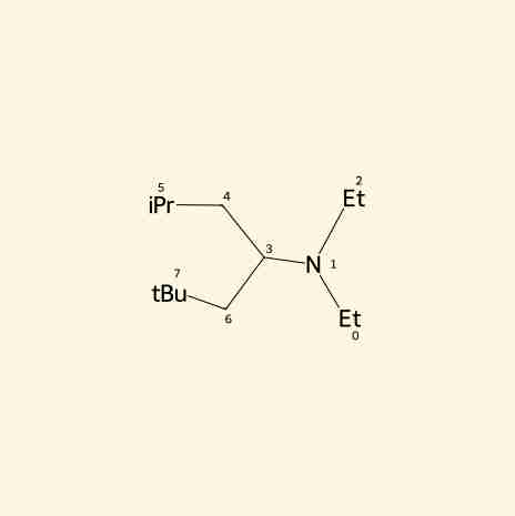 CCN(CC)C(CC(C)C)CC(C)(C)C